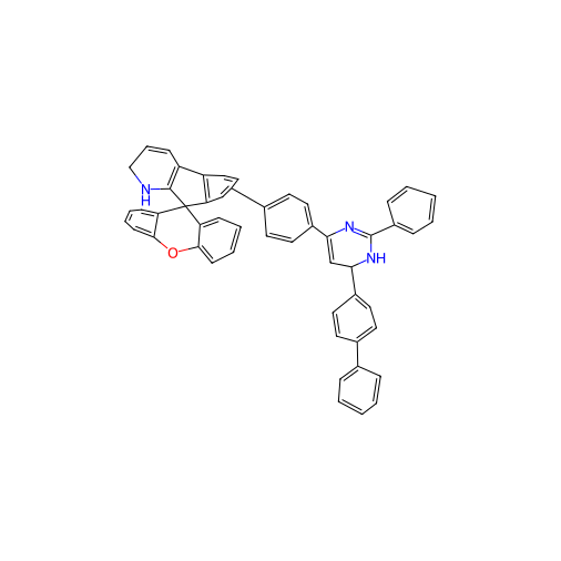 C1=CC2=C(NC1)C1(c3ccccc3Oc3ccccc31)c1cc(-c3ccc(C4=CC(c5ccc(-c6ccccc6)cc5)NC(c5ccccc5)=N4)cc3)ccc12